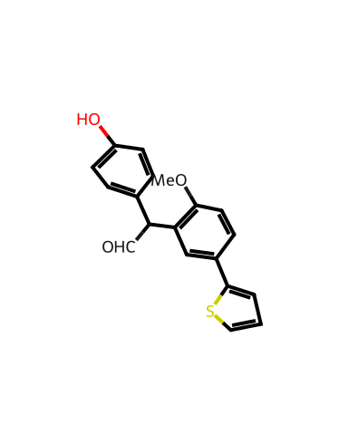 COc1ccc(-c2cccs2)cc1C(C=O)c1ccc(O)cc1